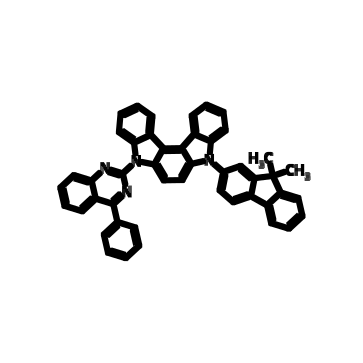 CC1(C)c2ccccc2-c2ccc(-n3c4ccccc4c4c5c6ccccc6n(-c6nc(-c7ccccc7)c7ccccc7n6)c5ccc43)cc21